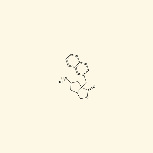 Cl.NC1CC2COC(=O)C2(Cc2ccc3ccccc3c2)C1